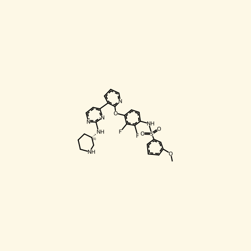 COc1cccc(S(=O)(=O)Nc2ccc(Oc3ncccc3-c3ccnc(N[C@H]4CCCNC4)n3)c(F)c2F)c1